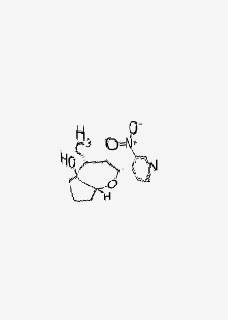 C[C@@H]1C[C@H](c2ccncc2[N+](=O)[O-])O[C@@H]2CCC[C@]12O